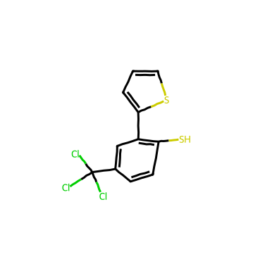 Sc1ccc(C(Cl)(Cl)Cl)cc1-c1cccs1